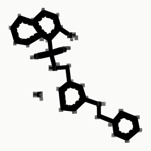 Cl.Nc1ccc2ccccc2c1S(=O)(=O)NCc1cccc(OCc2ccccc2)c1